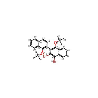 C[Si](C)(C)Oc1c(-c2c(Br)c(Br)c3ccccc3c2O[Si](C)(C)C)ccc2ccccc12